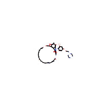 CO[C@H]1/C=C/O[C@@]2(C)Oc3c(C)c(O)c4c(=O)c(c5oc6cc(OCCN7CCN(C)CC7)cc(O)c6nc-5c4c3C2=O)NC(=O)/C(C)=C\C=C\[C@H](C)[C@H](O)[C@@H](C)[C@@H](O)[C@@H](C)[C@H](OC(C)=O)[C@@H]1C